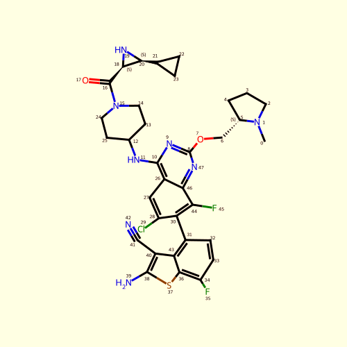 CN1CCC[C@H]1COc1nc(NC2CCN(C(=O)[C@H]3N[C@H]3C3CC3)CC2)c2cc(Cl)c(-c3ccc(F)c4sc(N)c(C#N)c34)c(F)c2n1